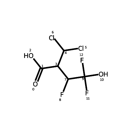 O=C(O)C(C(Cl)Cl)C(F)C(O)(F)F